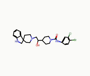 O=C(Nc1ccc(Br)c(Cl)c1)N1CCC(C(O)CN2CCC3(CC2)CNc2ccccc23)CC1